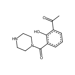 CC(=O)c1cccc(C(=O)N2CCNCC2)c1O